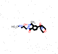 Cc1nn(C[C@@H](O)CNC(=O)O)c(=O)c2ccc(C(=O)N3C4CCC3COC4)cc12